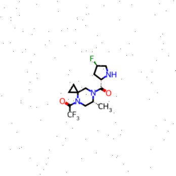 C[C@@H]1CN(C(=O)C(F)(F)F)C2(CC2)CN1C(=O)[C@@H]1C[C@@H](F)CN1